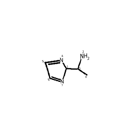 CC(N)C1N=CC=N1